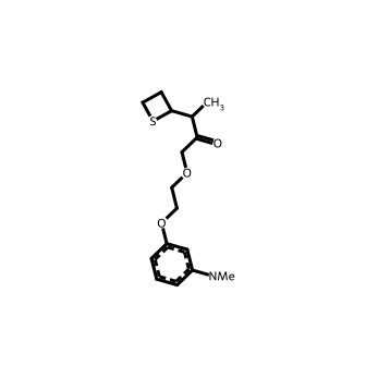 CNc1cccc(OCCOCC(=O)C(C)C2CCS2)c1